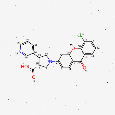 O=C(O)[C@H]1CN(c2ccc3c(=O)c4cccc(Cl)c4oc3c2)CC1c1cccnc1